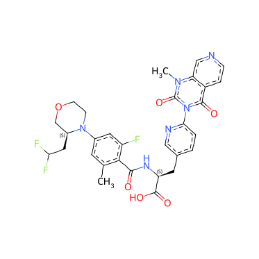 Cc1cc(N2CCOC[C@@H]2CC(F)F)cc(F)c1C(=O)N[C@@H](Cc1ccc(-n2c(=O)c3ccncc3n(C)c2=O)nc1)C(=O)O